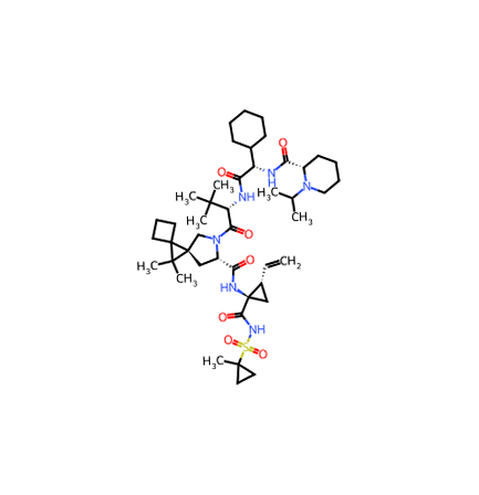 C=C[C@@H]1C[C@]1(NC(=O)[C@@H]1C[C@@]2(CN1C(=O)[C@@H](NC(=O)[C@@H](NC(=O)[C@@H]1CCCCN1C(C)C)C1CCCCC1)C(C)(C)C)C(C)(C)C21CCC1)C(=O)NS(=O)(=O)C1(C)CC1